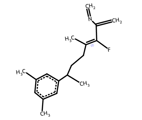 C=NC(=C)/C(F)=C(\C)CCC(C)c1cc(C)cc(C)c1